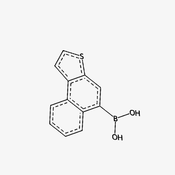 OB(O)c1cc2sccc2c2ccccc12